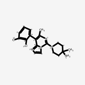 Cc1nc(N2CCC(C)(N)CC2)n2ccnc2c1-c1cccc(Cl)c1Cl